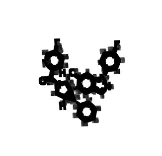 Cc1cc2c(cnn2-c2ccc(F)cc2)cc1[C@@]12CN(C(=O)c3ccc(F)cn3)C[C@@H]1[C@H]2c1ccccc1